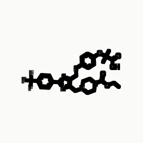 CCOC(=O)N1CCN(Cc2nc(-c3ccc(C(F)(F)F)cc3)sc2CSc2ccc(OC(C)(C)C(=O)O)cc2)CC1